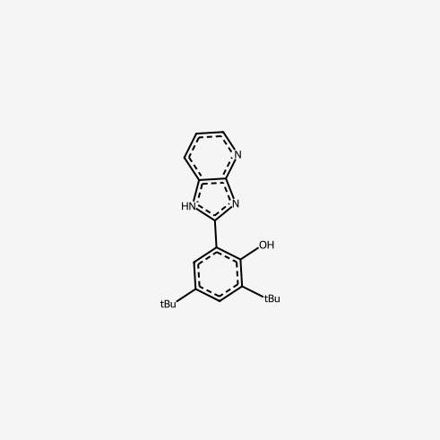 CC(C)(C)c1cc(-c2nc3ncccc3[nH]2)c(O)c(C(C)(C)C)c1